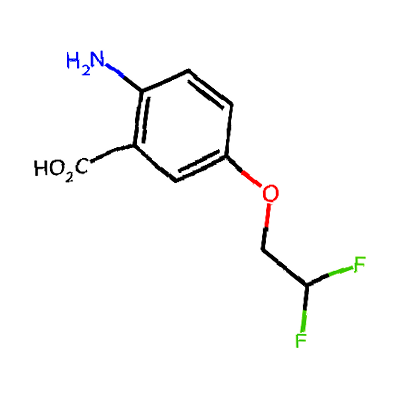 Nc1ccc(OCC(F)F)cc1C(=O)O